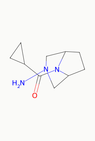 NN1CC2CCC(C1)N2C(=O)C1CC1